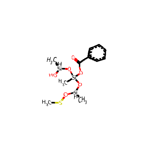 CSO[SiH](C)O[Si](C)(OC(=O)c1ccccc1)O[SiH](C)O